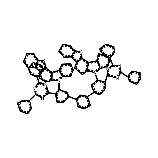 c1ccc(-c2nc(-c3ccccc3)nc(-c3ccc(-c4cccc(-c5ccc(-c6nc(-c7ccccc7)nc(-c7ccccc7)n6)c(-n6c7ccccc7c7c8sc9ccccc9c8ccc76)c5)c4)cc3-n3c4ccccc4c4c5sc6ccccc6c5ccc43)n2)cc1